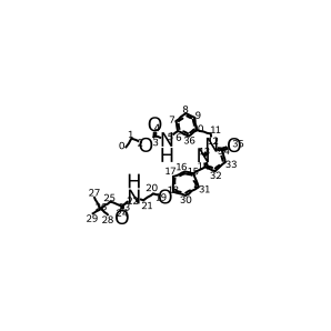 CCOC(=O)Nc1cccc(Cn2nc(-c3ccc(OCCNC(=O)CC(C)(C)C)cc3)ccc2=O)c1